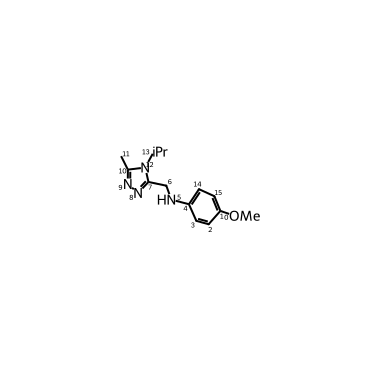 COc1ccc(NCc2nnc(C)n2C(C)C)cc1